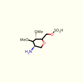 COC1[C@H](OC)C(COS(=O)(=O)O)OC[C@H]1N